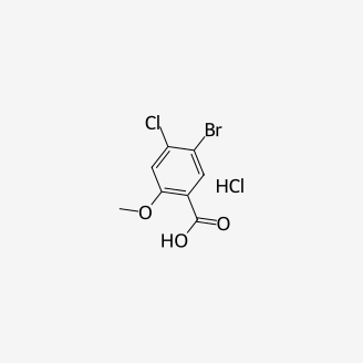 COc1cc(Cl)c(Br)cc1C(=O)O.Cl